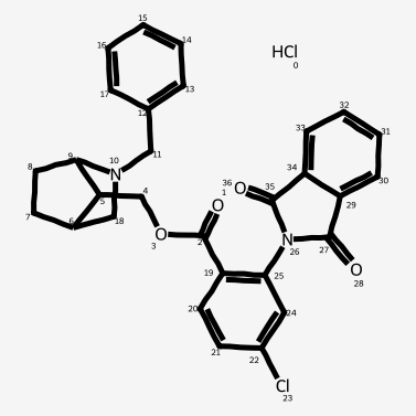 Cl.O=C(OCC1C2CCC1N(Cc1ccccc1)C2)c1ccc(Cl)cc1N1C(=O)c2ccccc2C1=O